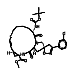 COC(=O)[C@@]12C[C@H]1/C=C\CCCCC[C@H](NC(=O)OC(C)(C)C)C(=O)N1C[C@@]3(CC(c4cccc(Cl)c4)=NO3)C[C@H]1C(=O)N2